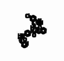 CN(Cc1cccnc1)C(=O)Nc1ccc(NC(=O)C(Cc2ccccc2)NC(=O)/C=C/c2cc(Cl)ccc2-n2cnnn2)cc1